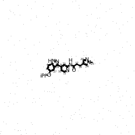 CC(C)Oc1ccc2[nH]nc(-c3ccnc(NC(=O)CCc4cnn(C)c4)c3)c2c1